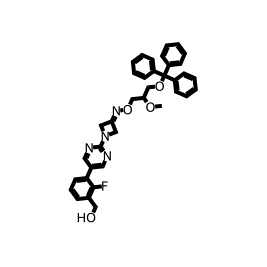 COC(CON=C1CN(c2ncc(-c3cccc(CO)c3F)cn2)C1)COC(c1ccccc1)(c1ccccc1)c1ccccc1